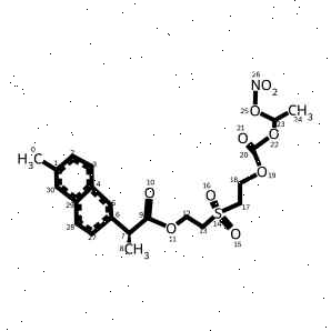 Cc1ccc2cc([C@H](C)C(=O)OCCS(=O)(=O)CCOC(=O)OC(C)O[N+](=O)[O-])ccc2c1